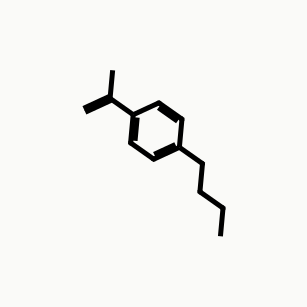 C=C(C)c1ccc(CCCC)cc1